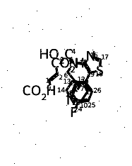 O=C(O)/C=C/C(=O)O.O=C(O)N(CC1CN2CCC1CC2)c1ncsc1-c1ccc(F)cc1